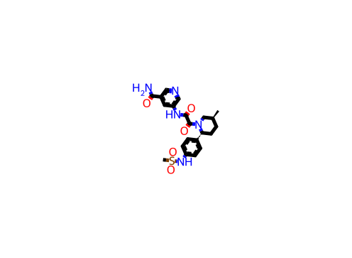 C[C@H]1CC[C@H](c2ccc(NS(C)(=O)=O)cc2)N(C(=O)C(=O)Nc2cncc(C(N)=O)c2)C1